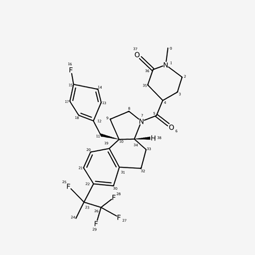 CN1CCC(C(=O)N2CC[C@@]3(Cc4ccc(F)cc4)c4ccc(C(C)(F)C(F)(F)F)cc4CC[C@@H]23)CC1=O